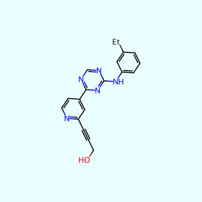 [CH2]Cc1cccc(Nc2ncnc(-c3ccnc(C#CCO)c3)n2)c1